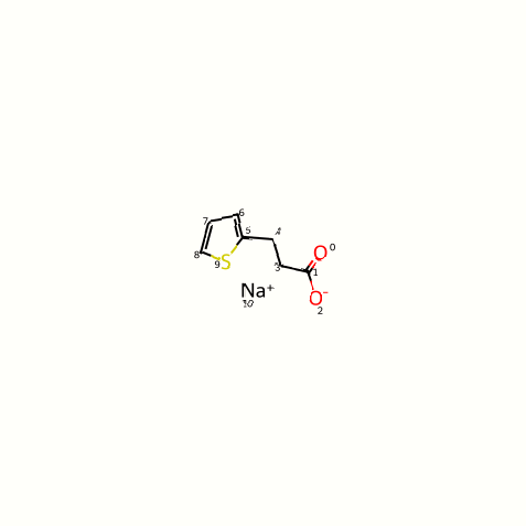 O=C([O-])CCc1cccs1.[Na+]